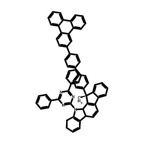 C[C@]1(c2ccc(-c3ccc(-c4ccc5c6ccccc6c6ccccc6c5c4)cc3)cc2)C2=C(C=CC3C4=C(CCC=C4)N(c4nc(-c5ccccc5)nc(-c5ccccc5)n4)C23)c2ccccc21